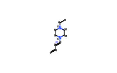 C=C/C=C/N1CCN(CC)CC1